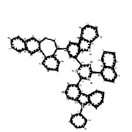 c1ccc(-n2c3ccccc3c3c(-c4nc(-c5cccc6ccccc56)nc(-c5cc(C6CCc7cc8ccccc8cc7-c7ccccc76)cc6c5oc5ccccc56)n4)cccc32)cc1